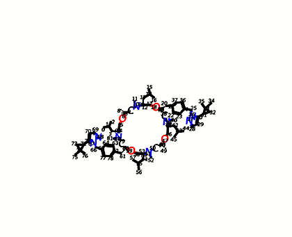 CC(C)C[C@H]1CO[C@H](C)CN(C)[C@@H](CC(C)C)CO[C@H](Cc2ccc(Cn3nccc3C3CC3(C)C)cc2)CN(C)[C@@H](CC(C)C)CO[C@H](C)CN(C)[C@@H](CC(C)C)CO[C@H](Cc2ccc(Cn3nccc3C3CC3(C)C)cc2)CN1C